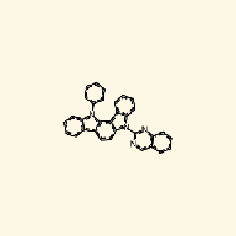 c1ccc(-n2c3ccccc3c3ccc4c(c5ccccc5n4-c4ncc5ccccc5n4)c32)cc1